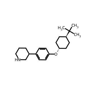 CC(C)(C)[C@H]1CC[C@H](Oc2ccc(C3CCCNC3)cc2)CC1